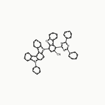 N#Cc1cc(-n2c3ccccc3c3c4c5ccccc5n(-c5ccccc5)c4ccc32)c2oc3ccccc3c2c1-c1nc(-c2ccccc2)nc(-c2ccccc2)n1